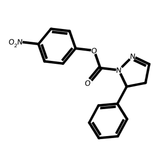 O=C(Oc1ccc([N+](=O)[O-])cc1)N1N=CCC1c1ccccc1